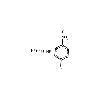 F.F.F.F.F.O=[N+]([O-])c1ccc([S])cc1